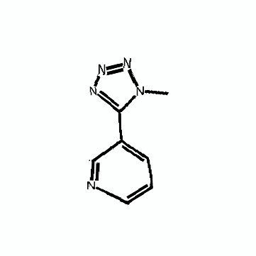 Cn1nnnc1-c1[c]nccc1